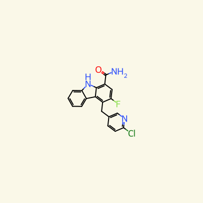 NC(=O)c1cc(F)c(Cc2ccc(Cl)nc2)c2c1[nH]c1ccccc12